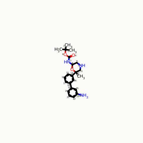 CC(C)(C)OC(=O)NC1CNCC(C)(c2cccc(-c3cccc(N)c3)c2)O1